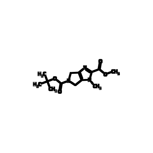 COC(=O)c1nc2c(n1C)CN(C(=O)OC(C)(C)C)C2